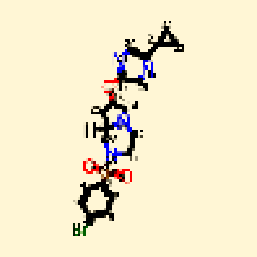 O=S(=O)(c1ccc(Br)cc1)N1CCN2C[C@H](Oc3cnc(C4CC4)cn3)C[C@H]2C1